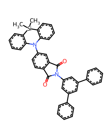 C[Si]1(C)c2ccccc2N(c2ccc3c(c2)C(=O)N(c2cc(-c4ccccc4)cc(-c4ccccc4)c2)C3=O)c2ccccc21